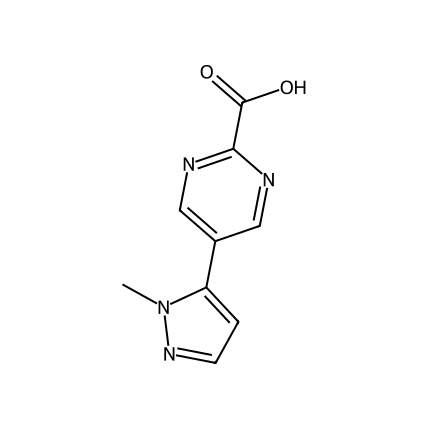 Cn1nccc1-c1cnc(C(=O)O)nc1